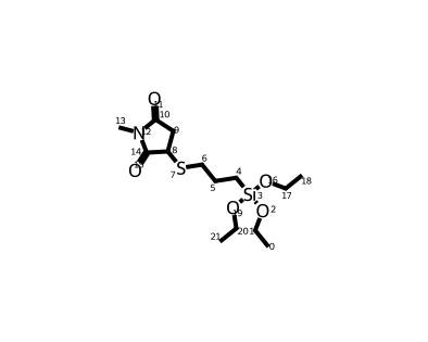 CCO[Si](CCCSC1CC(=O)N(C)C1=O)(OCC)OCC